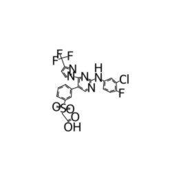 O=C(O)CS(=O)(=O)c1cccc(-c2cnc(Nc3ccc(F)c(Cl)c3)nc2-n2ccc(C(F)(F)F)n2)c1